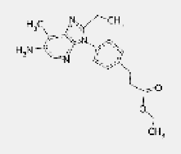 CCOC(=O)CCc1ccc(-n2c(CC)nc3c(C)c(N)cnc32)cc1